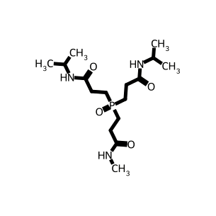 CNC(=O)CCP(=O)(CCC(=O)NC(C)C)CCC(=O)NC(C)C